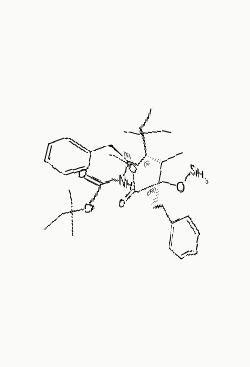 COC(=O)[C@](Cc1ccccc1)(O[SiH3])C(C)[C@H]([C@H](Cc1ccccc1)NC(=O)OC(C)(C)C)C(C)(C)C